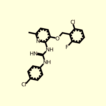 Cc1ccc(OCc2c(F)cccc2Cl)c(NC(=N)Nc2ccc(Cl)cc2)n1